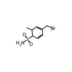 CC1C=C(CBr)C=CC1S(N)(=O)=O